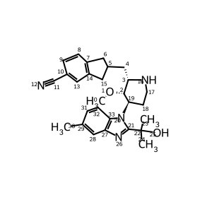 CO[C@@H]1[C@H](CC2Cc3ccc(C#N)cc3C2)NCC[C@H]1n1c(C(C)(C)O)nc2cc(C)ccc21